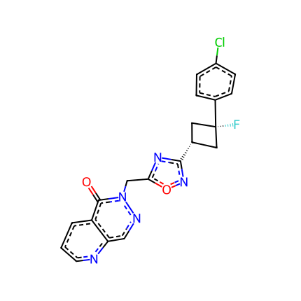 O=c1c2cccnc2cnn1Cc1nc([C@H]2C[C@](F)(c3ccc(Cl)cc3)C2)no1